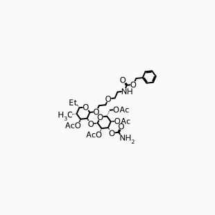 CC[C@@H]1OC(OCCOCCNC(=O)OCc2ccccc2)[C@@H](O[C@H]2O[C@H](COC(C)=O)[C@@H](OC(C)=O)[C@H](OC(N)=O)[C@@H]2OC(C)=O)[C@@H](OC(C)=O)[C@@H]1C